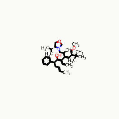 C=CC(=C(/O)C(C/C=C/C)c1ccccc1)/C(=C/C(COC)C(C)(C)C)C(C)CN1COC[C@H]1C(C)C